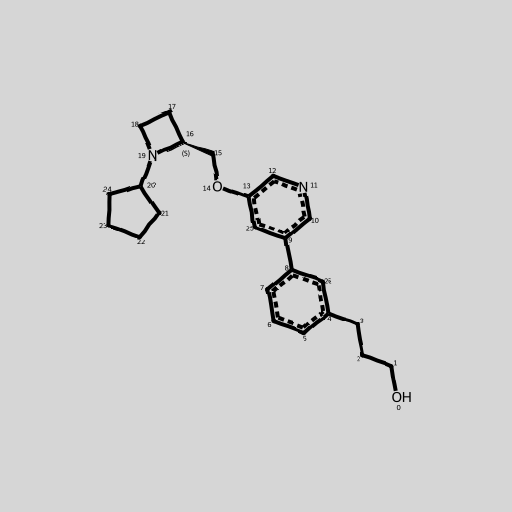 OCCCc1cccc(-c2cncc(OC[C@@H]3CCN3C3CCCC3)c2)c1